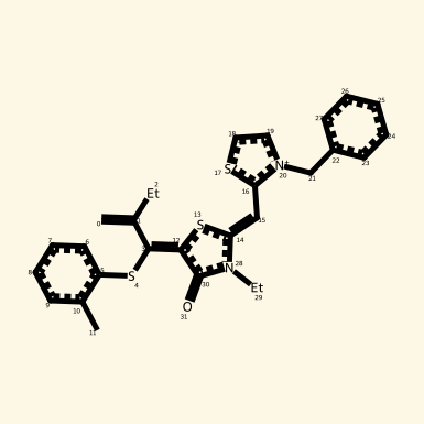 C=C(CC)/C(Sc1ccccc1C)=c1\s/c(=C\c2scc[n+]2Cc2ccccc2)n(CC)c1=O